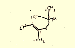 CCC(C)(C)CC(C)=CCl